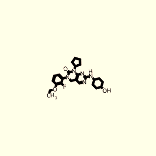 CCOc1cccc(N2Cc3cnc(NC4CCC(O)CC4)nc3N(C3CCCC3)C2=O)c1F